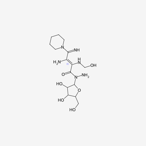 N=C(/C(N)=C(\NCO)C(=O)N(N)C1OC(CO)C(O)C1O)N1CCCCC1